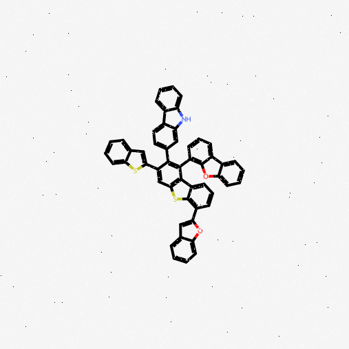 [c]1c(-c2cc3ccccc3s2)c(-c2ccc3c(c2)[nH]c2ccccc23)c(-c2cccc3c2oc2ccccc23)c2c1sc1c(-c3cc4ccccc4o3)cccc12